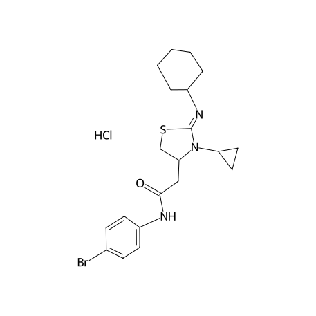 Cl.O=C(CC1CSC(=NC2CCCCC2)N1C1CC1)Nc1ccc(Br)cc1